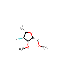 COC[C@H]1O[C@@H](C)[C@H](F)C1OC